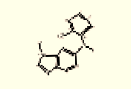 CN(c1cc2c(cn1)ncn2C)c1ccccc1C(F)(F)F